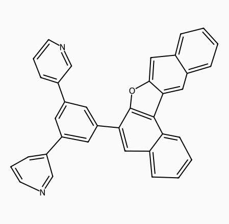 c1cncc(-c2cc(-c3cccnc3)cc(-c3cc4ccccc4c4c3oc3cc5ccccc5cc34)c2)c1